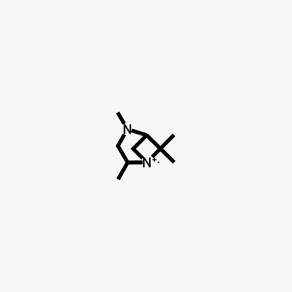 CC1CN(C)C2C[N+]1C2(C)C